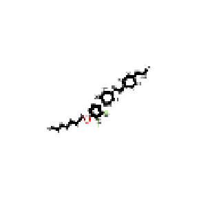 CCCCCCCOc1ccc([C@H]2CC[C@H](CCC3CCC(CCC)CC3)CC2)c(F)c1F